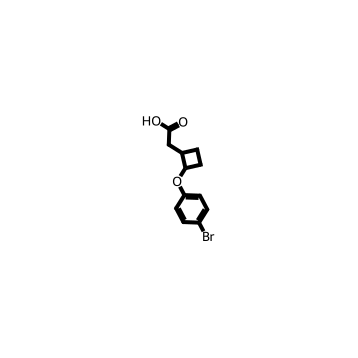 O=C(O)CC1CCC1Oc1ccc(Br)cc1